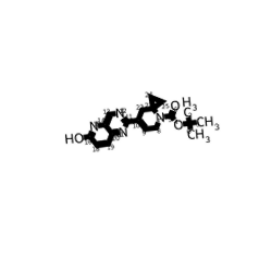 CC(C)(C)OC(=O)N1CC=C(c2ncc3nc(O)ccc3n2)CC12CC2